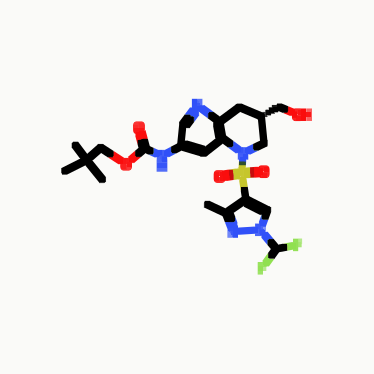 Cc1nn(C(F)F)cc1S(=O)(=O)N1C[C@@H](CO)Cc2ncc(NC(=O)OCC(C)(C)C)cc21